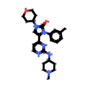 Cc1cccc(-n2c(-c3ccnc(NC4CCN(C)CC4)n3)cn(C3CCOCC3)c2=O)c1